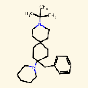 CC(C)(C)N1CCC2(CC1)CCC(Cc1ccccc1)(N1CCCCC1)CC2